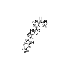 C[C@H](NC(=O)c1cc(Nc2nccs2)ncn1)c1cc(-c2nc3ccc(CF)cc3[nH]2)no1